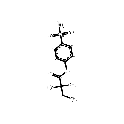 CCC(C)(C)C(=O)Oc1ccc(S(N)(=O)=O)cc1